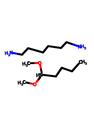 CCCC[SiH](OC)OC.NCCCCCCN